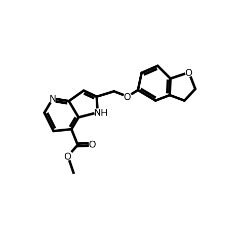 COC(=O)c1ccnc2cc(COc3ccc4c(c3)CCO4)[nH]c12